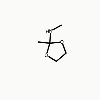 CNC1(C)OCCO1